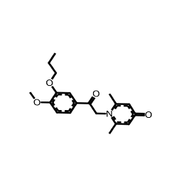 CCCOc1cc(C(=O)Cn2c(C)cc(=O)cc2C)ccc1OC